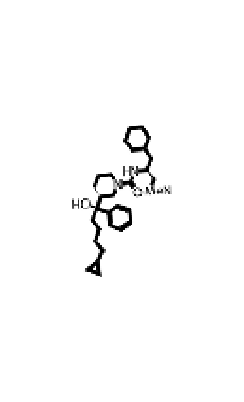 CNC[C@H](CC1CCCCC1)NC(=O)N1CCC[C@@H]([C@@](O)(CCCCC2CC2)c2ccccc2)C1